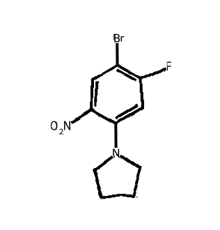 O=[N+]([O-])c1cc(Br)c(F)cc1N1C[CH]CC1